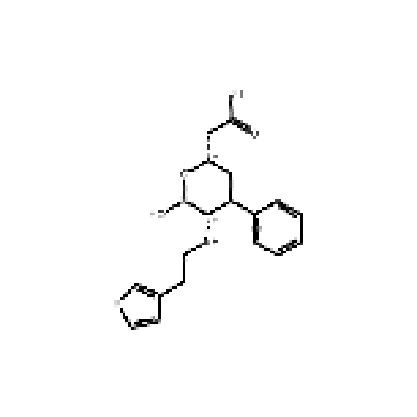 O=C(O)C[C@@H]1CC(c2ccccc2)[C@H](NCCc2ccsc2)B(O)O1